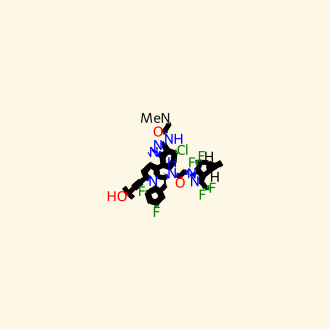 C=C1[C@@H]2c3c(C(F)F)nn(CC(=O)N[C@@H](Cc4cc(F)cc(F)c4)c4nc(C#CC(C)(C)O)ccc4-c4ccc(Cl)c5c(NC(=O)CNC)nn(C)c45)c3C(F)(F)[C@H]12